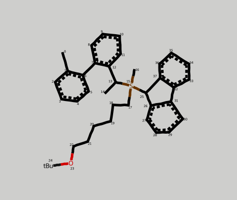 Cc1ccccc1-c1ccccc1C(C)S(C)(CCCCCCOC(C)(C)C)C1c2ccccc2-c2ccccc21